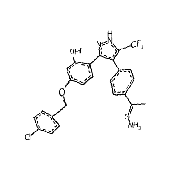 C/C(=N\N)c1ccc(-c2c(-c3ccc(OCc4ccc(Cl)cc4)cc3O)n[nH]c2C(F)(F)F)cc1